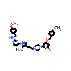 COc1ccc(CNc2nccc(-n3ncc(/C=C/CN4CCN(c5cc(Cl)cc(OCc6ccc(OC)cc6)c5)CC4)c3C)n2)cc1